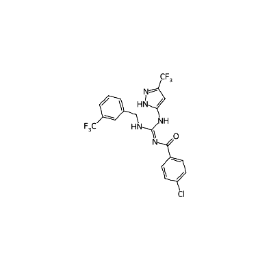 O=C(/N=C(/NCc1cccc(C(F)(F)F)c1)Nc1cc(C(F)(F)F)n[nH]1)c1ccc(Cl)cc1